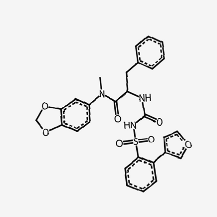 CN(C(=O)C(Cc1ccccc1)NC(=O)NS(=O)(=O)c1ccccc1-c1ccoc1)c1ccc2c(c1)OCO2